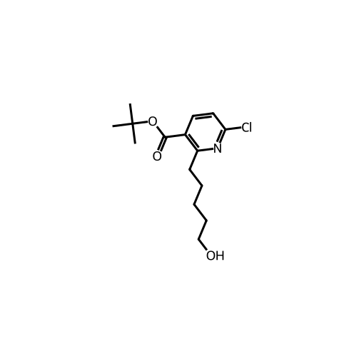 CC(C)(C)OC(=O)c1ccc(Cl)nc1CCCCCO